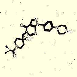 CN(C)C(=O)N1CCC(O)(Cn2cnc3c(cnn3-c3ccc(N4CCNCC4)cc3)c2=O)CC1